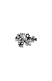 CC(C)(C)[C@H](NC(=O)NC1(CNS(=O)(=O)C2CC2)CCCCC1)C(=O)N1C[C@H]2[C@@H]([C@H]1C(=O)NC(C(=O)C(N)=O)C1CC1)C2(C)C